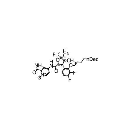 CCCCCCCCCCCCCCOc1c([C@@H]2[C@@H](C(=O)NC3=CC(C(N)=O)[N+](=O)C=C3)O[C@@](C)(C(F)(F)F)[C@@H]2C)ccc(F)c1F